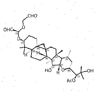 CC(=O)O[C@@H]([C@H]1C[C@@H](C)C2[C@H](O1)[C@H](O)[C@@]1(C)[C@@H]3CC[C@H]4C(C)(C)[C@@H](O[C@@H](C=O)OCC=O)CC[C@@]45C[C@@]35CC[C@]21C)C(C)(C)O